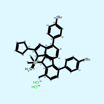 CC1=Cc2c(-c3ccc(C(C)(C)C)cc3)ccc(C)c2[CH]1[Zr]([CH3])([CH3])(=[SiH2])[CH]1C(C2CC=CC2)=Cc2c(-c3ccc(C(C)(C)C)cc3)cccc21.Cl.Cl